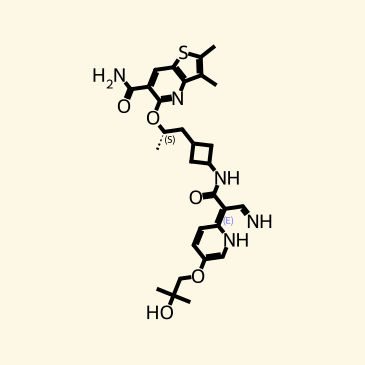 Cc1sc2cc(C(N)=O)c(O[C@@H](C)CC3CC(NC(=O)/C(C=N)=C4\C=CC(OCC(C)(C)O)=CN4)C3)nc2c1C